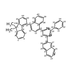 CC1(C)c2ccccc2-c2c(-c3ccc(-c4cc(-c5ccc6ccncc6c5)nc(-c5ccccc5)n4)c4ccccc34)cccc21